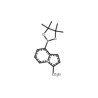 CCOC(=O)c1ccc2c(B3OC(C)(C)C(C)(C)O3)cccn12